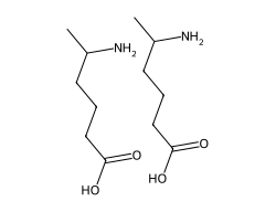 CC(N)CCCC(=O)O.CC(N)CCCC(=O)O